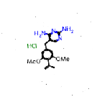 C=C(C)c1c(OC)cc(Cc2cnc(N)nc2N)cc1OC.Cl